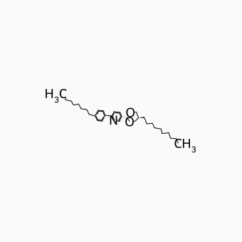 CCCCCCCCCC[C@H]1CO[C@H](c2ccc(-c3ccc(CCCCCCCC)cc3)nc2)OC1